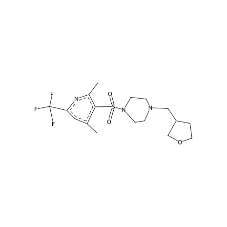 Cc1cc(C(F)(F)F)nc(C)c1S(=O)(=O)N1CCN(CC2CCOC2)CC1